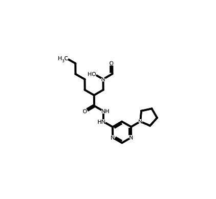 CCCCCC(CN(O)C=O)C(=O)NNc1cc(N2CCCC2)ncn1